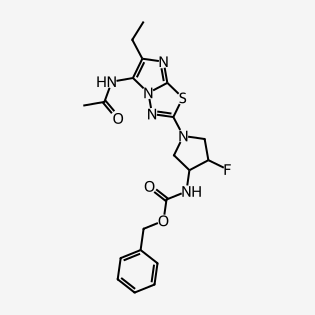 CCc1nc2sc(N3CC(F)C(NC(=O)OCc4ccccc4)C3)nn2c1NC(C)=O